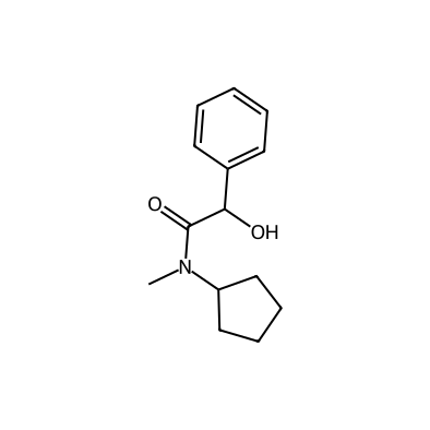 CN(C(=O)C(O)c1ccccc1)C1CCCC1